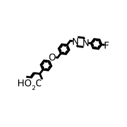 CC=CC(CC(=O)O)c1ccc(OCc2ccc(CN3CCN(c4ccc(F)cc4)CC3)cc2)cc1